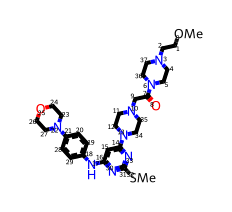 COCCN1CCN(C(=O)CN2CCN(c3cc(Nc4ccc(N5CCOCC5)cc4)nc(SC)n3)CC2)CC1